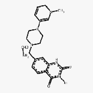 CCn1c(=O)[nH]c2cc(CN3CCN(C4=CN(C)CC=C4)CC3)ccc2c1=O.NC=O